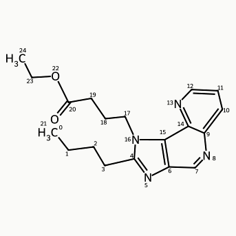 CCCCc1nc2cnc3cccnc3c2n1CCCC(=O)OCC